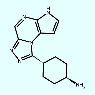 N[C@H]1CC[C@H](c2nnc3cnc4[nH]ccc4n32)CC1